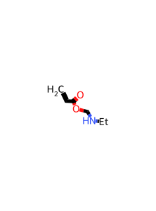 C=CC(=O)OCNCC